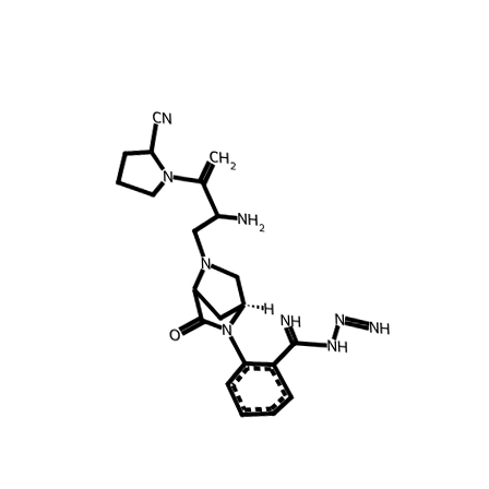 C=C(C(N)CN1C[C@@H]2CC1C(=O)N2c1ccccc1C(=N)NN=N)N1CCCC1C#N